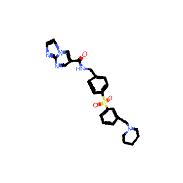 O=C(NCc1ccc(S(=O)(=O)c2cccc(CN3CCCCC3)c2)cc1)c1cnc2nccn2c1